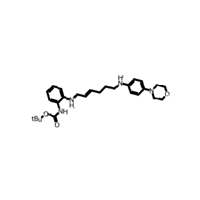 CC(C)(C)OC(=O)Nc1ccccc1NCC=CCCCNc1ccc(N2CCOCC2)cc1